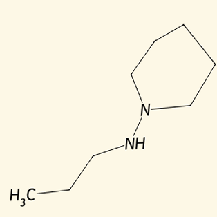 CCCNN1CCCCC1